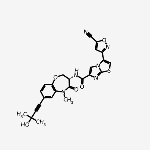 CN1C(=O)[C@@H](NC(=O)c2cn3c(-c4cc(C#N)on4)csc3n2)COc2ccc(C#CC(C)(C)O)cc21